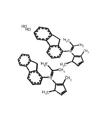 CC1=[C]([Hf](=[C](C)C)[c]2cccc3c2Cc2ccccc2-3)C(C)C=C1.CC1=[C]([Hf](=[C](C)C)[c]2cccc3c2Cc2ccccc2-3)C(C)C=C1.Cl.Cl